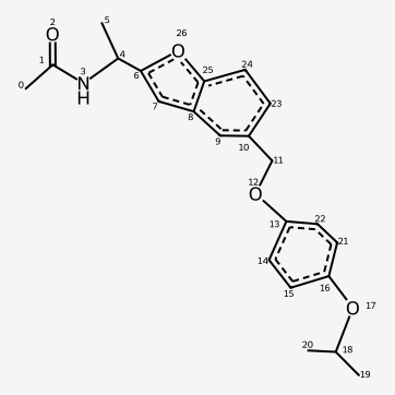 CC(=O)NC(C)c1cc2cc(COc3ccc(OC(C)C)cc3)ccc2o1